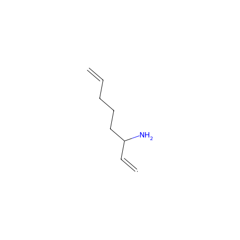 [CH]=CC(N)CCCC=C